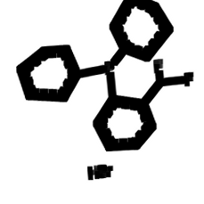 Br.FC(F)c1ccccc1P(c1ccccc1)c1ccccc1